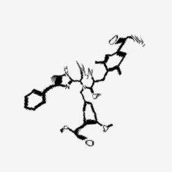 COC(=O)c1cc(CN(C(=O)C(N)Cc2c(C)cc(C(N)=O)cc2C)C(C)c2nc(-c3ccccc3)c[nH]2)ccc1OC